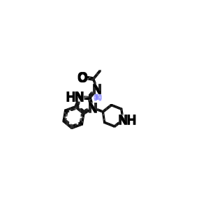 CC(=O)/N=c1\[nH]c2ccccc2n1C1CCNCC1